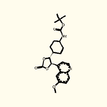 COc1ccc2nccc([C@H]3OC(=O)O[C@@H]3C3CCC(NC(=O)OC(C)(C)C)CC3)c2c1